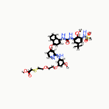 COC(=O)CSCCOCCOc1cc(Nc2cc(Oc3ccc(NC(=O)Nc4cc(C(C)(C)C)cc(NS(C)(=O)=O)c4OC)c4ccccc34)ccn2)cc(OC)c1